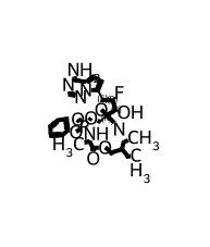 CCC(CC)COC(=O)C(C)NP(=O)(OC[C@@]1(C#N)O[C@@H](c2ccc3c(N)ncnn23)[C@H](F)[C@@H]1O)Oc1ccccc1